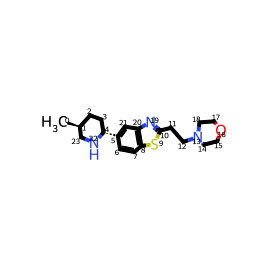 C[C@H]1CC[C@H](c2ccc3sc(CCN4CCOCC4)nc3c2)NC1